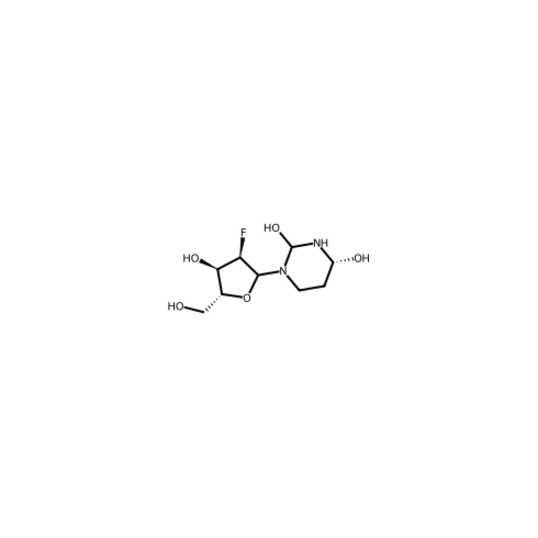 OC[C@H]1OC(N2CC[C@@H](O)NC2O)[C@H](F)[C@@H]1O